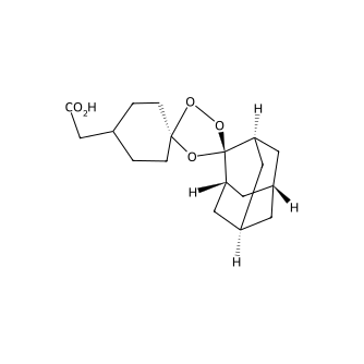 O=C(O)CC1CC[C@]2(CC1)OO[C@]1(O2)[C@@H]2C[C@H]3C[C@@H](C2)C[C@@H]1C3